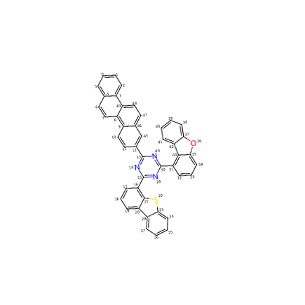 c1ccc2c(c1)ccc1c3ccc(-c4nc(-c5cccc6c5sc5ccccc56)nc(-c5cccc6oc7ccccc7c56)n4)cc3ccc21